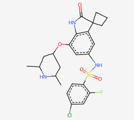 CC1CC(Oc2cc(NS(=O)(=O)c3ccc(Cl)cc3F)cc3c2NC(=O)C32CCC2)CC(C)N1